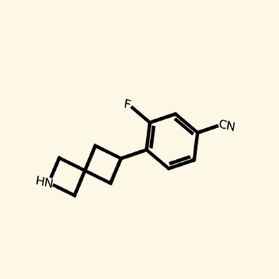 N#Cc1ccc(C2CC3(CNC3)C2)c(F)c1